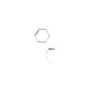 CCOC(=O)[C@@H]1CC=CCC1